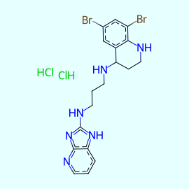 Brc1cc(Br)c2c(c1)C(NCCCNc1nc3ncccc3[nH]1)CCN2.Cl.Cl